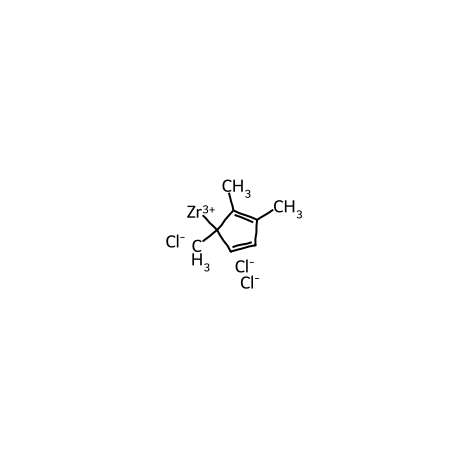 CC1=C(C)[C](C)([Zr+3])C=C1.[Cl-].[Cl-].[Cl-]